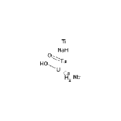 [CaH2].[NaH].[Nb].[OH][U].[O]=[Ta].[Ti]